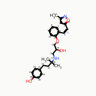 Cc1cc(/C=C\c2ccccc2OCC(O)CNC(C)(C)CCc2ccc(O)cc2)on1